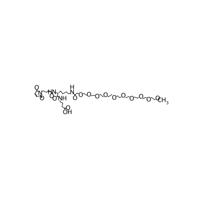 COCCOCCOCCOCCOCCOCCOCCOCCOCCOCC(=O)NCCCC[C@H](NC(=O)CCCN1C(=O)C=CC1=O)C(=O)NCCCC(=O)O